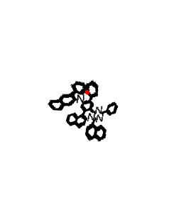 c1ccc(-c2nc(-c3cc(-c4ccccc4)c(-n4c5ccccc5c5cc6ccccc6cc54)cc3-c3cccc4ccccc34)nc(-c3cccc4ccccc34)n2)cc1